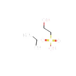 CCC.O=S(=O)(O)CCO